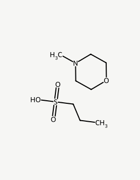 CCCS(=O)(=O)O.CN1CCOCC1